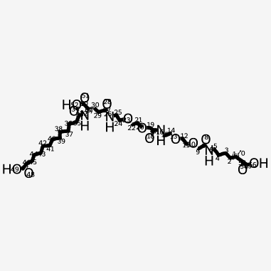 C[C@@H](CCCCNC(=O)COCCOCCNC(=O)COCCOCCNC(=O)CC[C@H](NC(=O)CCCCCCCCCCCCC(=O)O)C(=O)O)C1OC1O